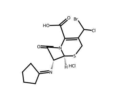 Cl.O=C(O)C1=C(C(Cl)Br)CS[C@H]2[C@H](N=C3CCCC3)C(=O)N12